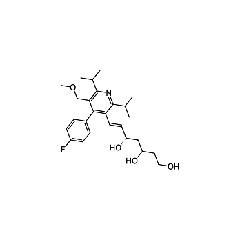 COCc1c(C(C)C)nc(C(C)C)c(C=C[C@@H](O)CC(O)CCO)c1-c1ccc(F)cc1